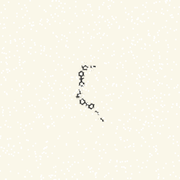 C=CC(=O)OCC(O)COc1ccc(C(C)(C)c2ccc(OC(C)(C)CC(O)COc3ccc(C(C)(C)c4ccc(OC(C)(CC)C(O)COC(=O)C=C)cc4)cc3)cc2)cc1